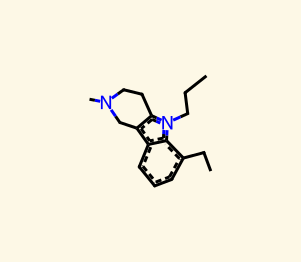 CCCn1c2c(c3cccc(CC)c31)CN(C)CC2